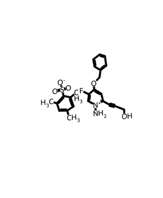 Cc1cc(C)c(S(=O)(=O)[O-])c(C)c1.N[n+]1cc(F)c(OCc2ccccc2)cc1C#CCO